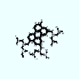 CCN(C)CN(Cc1ccc2c3ccc(C)c4cc(CN(CN(C)C)CN(C)C)cc(c5cc(CN(CN(C)C)CN(C)C)cc1c25)c43)CN(C)C